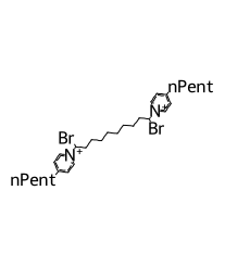 CCCCCc1cc[n+](C(Br)CCCCCCCCC(Br)[n+]2ccc(CCCCC)cc2)cc1